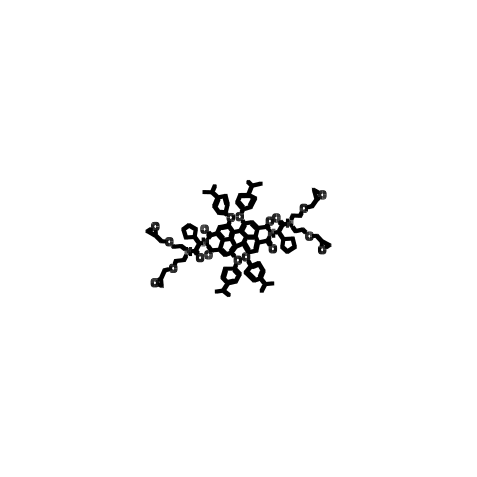 CC(C)c1ccc(Oc2cc3c4c(cc(Oc5ccc(C(C)C)cc5)c5c6c(Oc7ccc(C(C)C)cc7)cc7c8c(cc(Oc9ccc(C(C)C)cc9)c(c2c45)c86)C(=O)N(C(C(=O)N(CCOCC2CO2)CCOCC2CO2)C2CCCC2)C7=O)C(=O)N(C(C(=O)N(CCOCC2CO2)CCOCC2CO2)C2CCCC2)C3=O)cc1